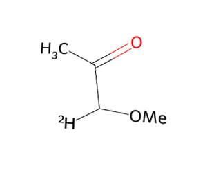 [2H]C(OC)C(C)=O